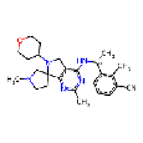 Cc1nc(N[C@H](C)c2cccc(C#N)c2C)c2c(n1)C1(CCN(C)C1)N(C1CCOCC1)C2